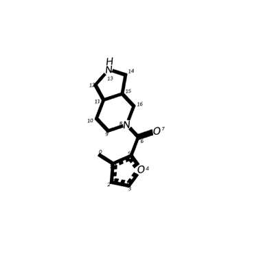 Cc1ccoc1C(=O)N1CCC2CNCC2C1